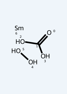 O=C(O)O.OO.[Sm]